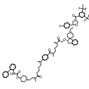 CN(CCN1CCC(OC(=O)Nc2ccccc2-c2ccccc2)CC1)C(=O)CCCCN(C)c1ccc(C(=O)N(C)CCCN(C)C(=O)CO[C@H]2Cc3ccccc3C23CCN(CC[C@]2(c4ccc(F)cc4)CN(C(=O)c4cc(C(F)(F)F)cc(C(F)(F)F)c4)CO2)CC3)cc1